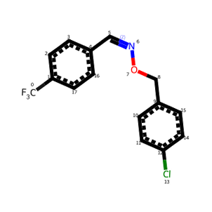 FC(F)(F)c1ccc(/[C]=N\OCc2ccc(Cl)cc2)cc1